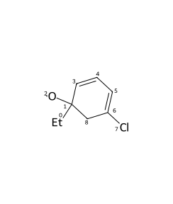 CCC1([O])C=CC=C(Cl)C1